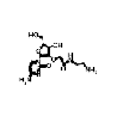 NCCNC(=O)CO[C@@H]1[C@H](O)[C@@H](CO)O[C@H]1n1ccc(N)nc1=O